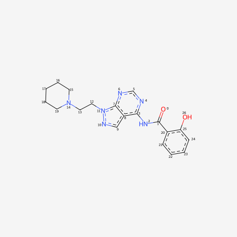 O=C(Nc1ncnc2c1cnn2CCN1CCCCC1)c1ccccc1O